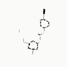 C#Cc1ccc(NC(=O)Nc2cc(COOCC)cc(C(=O)OCC)c2)cc1